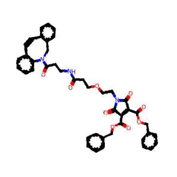 O=C(CCOCCN1C(=O)C(C(=O)OCc2ccccc2)=C(C(=O)OCc2ccccc2)C1=O)NCCC(=O)N1Cc2ccccc2C#Cc2ccccc21